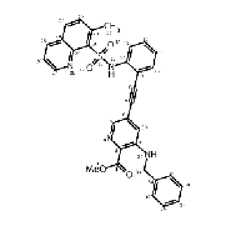 COC(=O)c1ncc(C#Cc2ccccc2NS(=O)(=O)c2c(C)ccc3cccnc23)cc1NCc1ccccc1